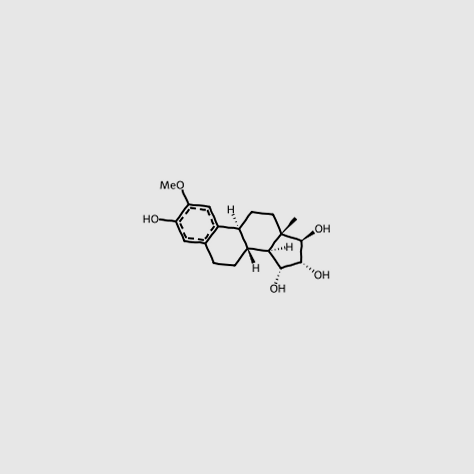 COc1cc2c(cc1O)CC[C@H]1[C@@H]3[C@@H](O)[C@@H](O)[C@H](O)[C@@]3(C)CC[C@H]21